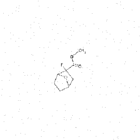 COC(=O)C1(F)CC2CCC1O2